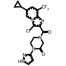 O=C(c1nc2c(C(F)(F)F)cc(C3CC3)cn2c1Cl)N1CCN(c2cc[nH]n2)C(=O)C1